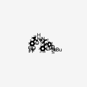 Cc1nc(NC(=O)C2(c3ccc4c(c3)OC(F)(F)O4)CC2)sc1[C@@H](c1ccccc1Cl)N1CCC(O[Si](C)(C)C(C)(C)C)C1